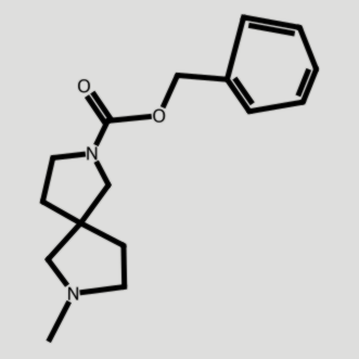 CN1CCC2(CCN(C(=O)OCc3ccccc3)C2)C1